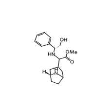 COC(=O)C(N[C@@H](CO)c1ccccc1)C1CC2CC[C@H](C1)N2